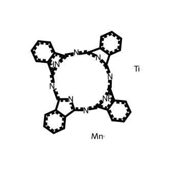 [Mn].[Ti].c1ccc2c(c1)-c1nc-2nc2[nH]c(nc3nc(nc4[nH]c(n1)c1ccccc41)-c1ccccc1-3)c1ccccc21